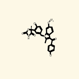 Cc1c(C(=O)c2ccc(Cl)cc2)c2ccc(OC(F)(F)F)cc2n1Cc1ccc(Cl)c([C@@]2(C)OC(=O)NC2=O)c1